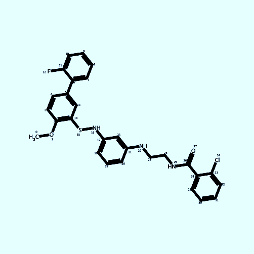 COc1ccc(-c2ccccc2F)cc1SNc1cccc(NCCNC(=O)c2ccccc2Cl)c1